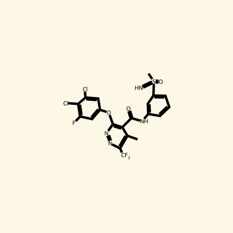 Cc1c(C(F)(F)F)nnc(Oc2cc(F)c(Cl)c(Cl)c2)c1C(=O)Nc1cccc(S(C)(=N)=O)c1